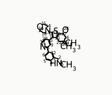 CNCc1cccc(-c2cc(-c3c(N4CCOCC4)sc4c3CC(C)(C)CC4=O)ccn2)c1